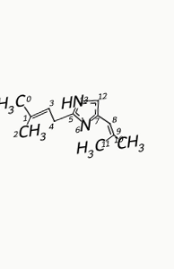 CC(C)=CCc1nc(C=C(C)C)c[nH]1